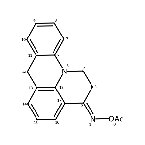 CC(=O)O/N=C1\CCN2c3ccccc3Cc3cccc1c32